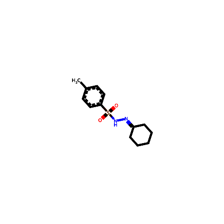 Cc1ccc(S(=O)(=O)NN=C2CCCCC2)cc1